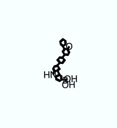 OB(O)c1ccc2[nH]c3ccc(-c4ccc(-c5ccc6oc7ccccc7c6c5)cc4)cc3c2c1